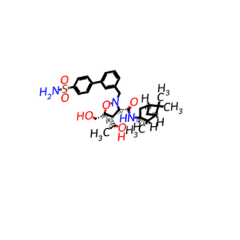 C[C@@H]1[C@@H](NC(=O)[C@@H]2[C@H]([C@H](C)O)[C@H](CO)ON2Cc2cccc(-c3ccc(S(N)(=O)=O)cc3)c2)C[C@H]2C[C@@H]1C2(C)C